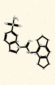 NS(=O)(=O)c1ccc2ccn(C(=O)Nc3c4c(cc5c3CCC5)CCC4)c2c1